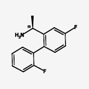 C[C@H](N)c1cc(F)ccc1-c1ccccc1F